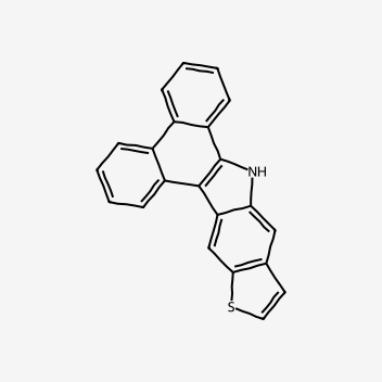 c1ccc2c(c1)c1ccccc1c1c3cc4sccc4cc3[nH]c21